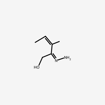 C/C=C(C)\C(CO)=N/N